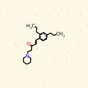 CCCc1ccc(C=CC(=O)CCN2CCCCC2)c(CCC)c1